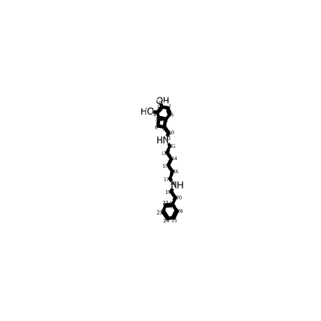 Oc1ccc2c(c1O)CC2CNCCCCCCNCCc1ccccc1